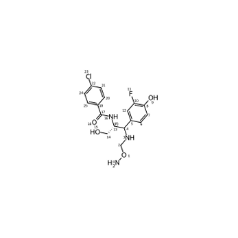 NOCNC(c1ccc(O)c(F)c1)[C@H](CO)NC(=O)c1ccc(Cl)cc1